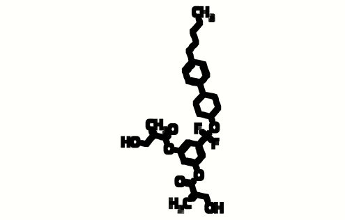 C=C(CO)C(=O)Oc1cc(OC(=O)C(=C)CO)cc(C(F)(F)OC2CCC(c3ccc(CCCCC)cc3)CC2)c1